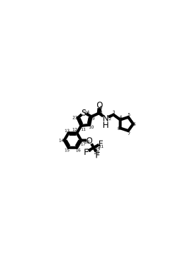 O=C(NCC1CCCC1)c1cc(-c2ccccc2OC(F)(F)F)cs1